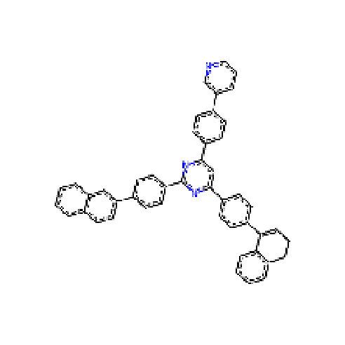 C1=C(c2ccc(-c3cc(-c4ccc(-c5cccnc5)cc4)nc(-c4ccc(-c5ccc6ccccc6c5)cc4)n3)cc2)c2ccccc2CC1